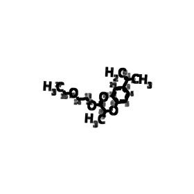 C=C(C)c1ccc(OC(C)C(=O)OCCOCC)cc1